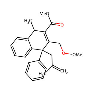 C=C(C)CC1(c2ccccc2)C(COOC)=C(C(=O)OC)C(C)c2ccccc21